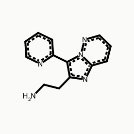 NCCc1nc2cccnn2c1-c1ccccn1